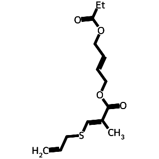 C=CCSC=C(C)C(=O)OCC=CCOC(=O)CC